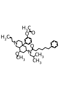 C=CCN1CCC2(c3cccc(OC(C)=O)c3)CC(N(CC(C)C)C(=O)CCCCCc3ccccc3)CC(OC)C2C1